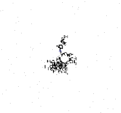 CCC(=O)O[C@@H]1CC(=O)O[C@@H](C/C=C/c2ccc(N3C[C@H](CO)OC3=O)cc2F)CCCN(C)C[C@H](O)[C@H](C)C[C@H](CC=O)[C@H](O[C@@H]2OC(C)[C@@H](O[C@H]3CC(C)(O)[C@@H](OC(=O)CC)C(C)O3)C(N(C)C)C2O)[C@H]1OC